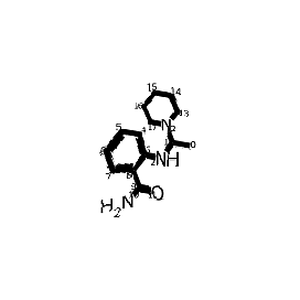 CC(Nc1ccccc1C(N)=O)N1CCCCC1